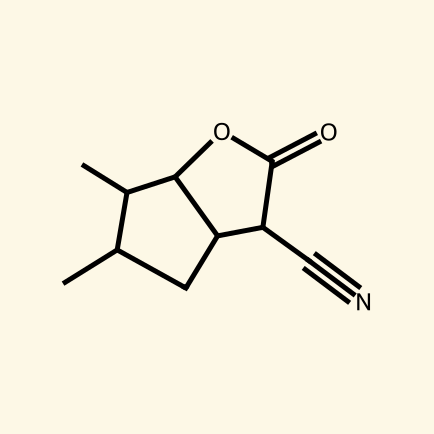 CC1CC2C(C#N)C(=O)OC2C1C